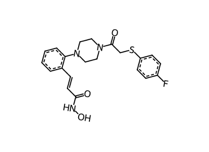 O=C(/C=C/c1ccccc1N1CCN(C(=O)CSc2ccc(F)cc2)CC1)NO